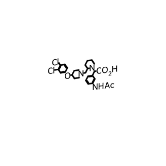 CC(=O)Nc1cccc(C(C(=O)O)N2CCCCC2CN2CCC(Oc3ccc(Cl)c(Cl)c3)CC2)c1